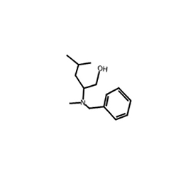 CC(C)CC(CO)N(C)Cc1ccccc1